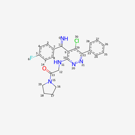 N=C(c1ccc(F)cc1)c1c(NCC(=O)N2CCCC2)nnc(-c2ccccc2)c1Cl